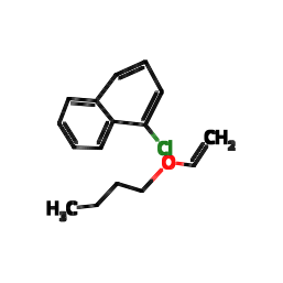 C=COCCCC.Clc1cccc2ccccc12